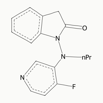 CCCN(c1cnccc1F)N1C(=O)Cc2ccccc21